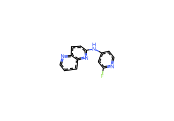 Fc1cc(Nc2ccc3ncccc3n2)ccn1